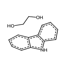 OCCO.c1ccc2c(c1)[nH]c1ccccc12